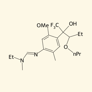 CCCOC(CC)C(O)(c1cc(C)c(N=CN(C)CC)cc1OC)C(F)(F)F